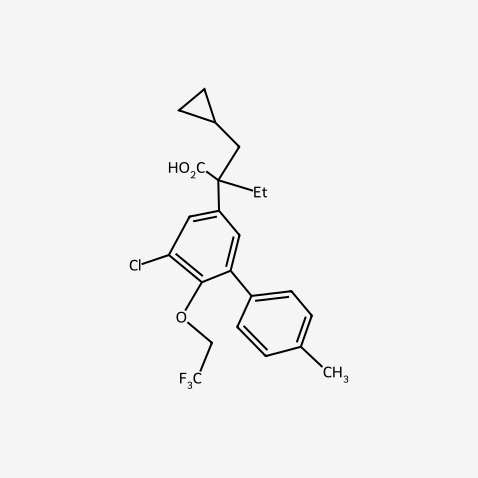 CCC(CC1CC1)(C(=O)O)c1cc(Cl)c(OCC(F)(F)F)c(-c2ccc(C)cc2)c1